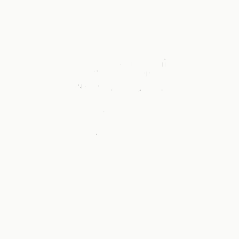 CCCCCCCCc1ccccc1OP(=O)(O)O.[NaH]